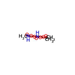 CC(=O)NCCOCCOCC(=O)NCCOCCOCC(=O)C(C)C